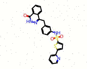 O=c1[nH]nc(Cc2cccc(NS(=O)(=O)c3ccc(-c4ccccn4)s3)c2)c2ccccc12